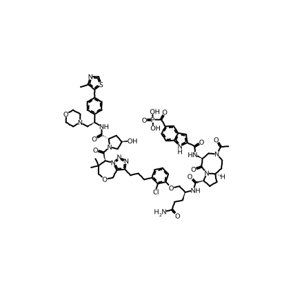 CC(=O)N1CC[C@H]2CC[C@@H](C(=O)N[C@@H](CCC(N)=O)COc3cccc(CCCc4nnn5c4COCC(C)(C)[C@H]5C(=O)N4C[C@H](O)C[C@H]4C(=O)N[C@@H](CN4CCOCC4)c4ccc(-c5scnc5C)cc4)c3Cl)N2C(=O)[C@@H](NC(=O)c2cc3cc(C(=O)P(=O)(O)O)ccc3[nH]2)C1